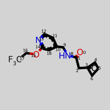 O=C(CC12CC(C1)C2)NCc1ccnc(OCC(F)(F)F)c1